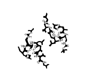 CCC(Cc1nc(C)cs1)C(=O)NC(CNC(=O)OC(C)C)C(=O)NC(CC(C)C)C(O)CC(C)C(=O)NC(C(=O)NCC(C)C)C(C)C.Cc1csc(CC(C)C(=O)NC(CNC(=O)OC(C)(C)C)C(=O)NC(CC(C)C)C(O)CC(C)C(=O)NC(CS(=O)(=O)CC(C)C)C(C)C)n1